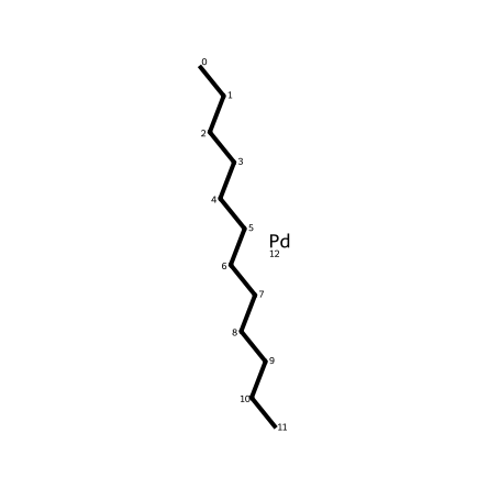 CCCCCCCCCCCC.[Pd]